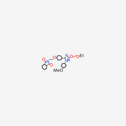 CCOCCOc1nc(-c2ccc(OCCN3C(=O)c4ccccc4C3=O)cc2)n(-c2ccc(OC)cc2)n1